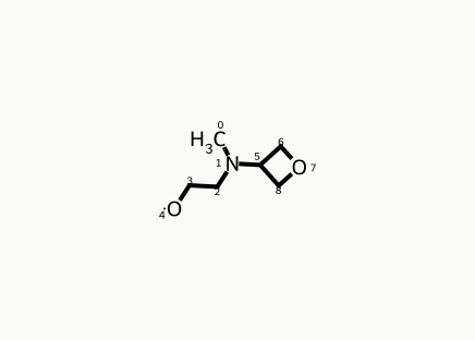 CN(CC[O])C1COC1